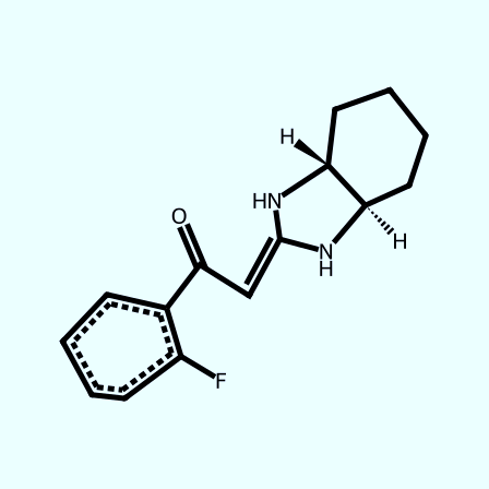 O=C(C=C1N[C@@H]2CCCC[C@H]2N1)c1ccccc1F